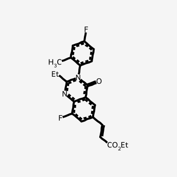 CCOC(=O)C=Cc1cc(F)c2nc(CC)n(-c3ccc(F)cc3C)c(=O)c2c1